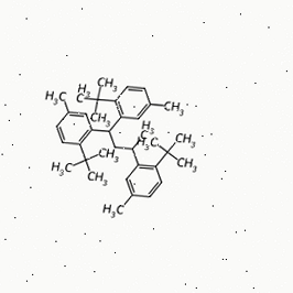 Cc1ccc(C(C)(C)C)c(C(C)CC(c2cc(C)ccc2C(C)(C)C)c2cc(C)ccc2C(C)(C)C)c1